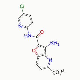 Nc1c(C(=O)Nc2ccc(Cl)cn2)oc2ccc(C(=O)O)nc12